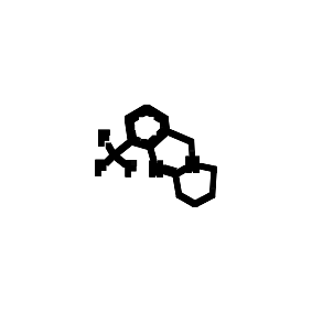 FC(F)(F)c1cccc2c1N=C1CCCCN1C2